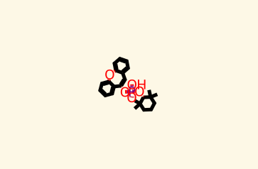 CC1(C)CCCC(C)(C)C1OP(=O)(O)OC1=Cc2ccccc2Oc2ccccc21